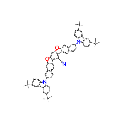 CC(C)(C)c1ccc2c(c1)c1cc(C(C)(C)C)ccc1n2-c1ccc2cc3c(cc2c1)oc1cc2oc4cc5cc(-n6c7ccc(C(C)(C)C)cc7c7cc(C(C)(C)C)ccc76)ccc5cc4c2c(C#N)c13